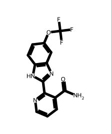 NC(=O)c1cccnc1-c1nc2cc(OC(F)(F)F)ccc2[nH]1